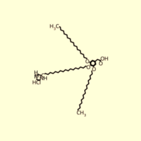 C1CNCCN1.CCCCCCCCCCCCCCCCCCOc1cc(CC(=O)O)cc(OCCCCCCCCCCCCCCCCCC)c1OCCCCCCCCCCCCCCCCCC.Cl